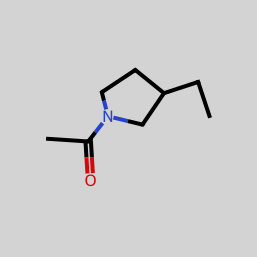 CCC1CCN(C(C)=O)C1